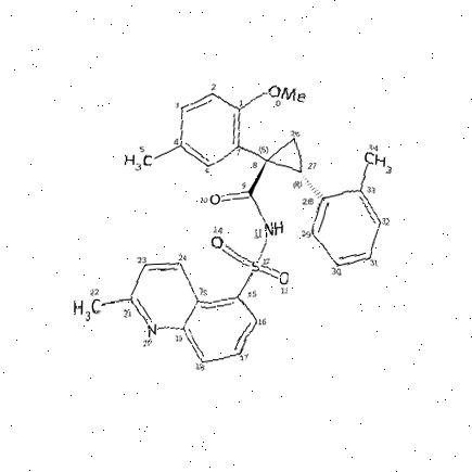 COc1ccc(C)cc1[C@]1(C(=O)NS(=O)(=O)c2cccc3nc(C)ccc23)C[C@@H]1c1ccccc1C